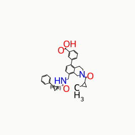 CC1CC1C(=O)N1CCc2c(-c3cccc(C(=O)O)c3)ccc(CNC(=O)[C@@H]3C[C@H]3c3ccccc3)c2C1